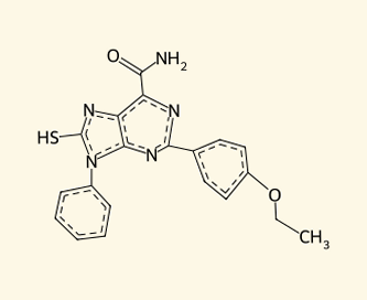 CCOc1ccc(-c2nc(C(N)=O)c3nc(S)n(-c4ccccc4)c3n2)cc1